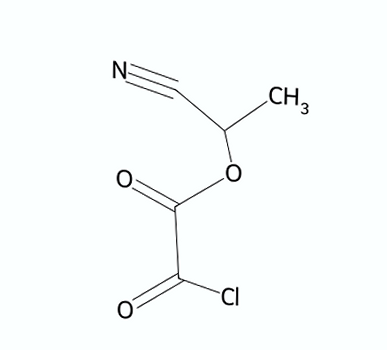 CC(C#N)OC(=O)C(=O)Cl